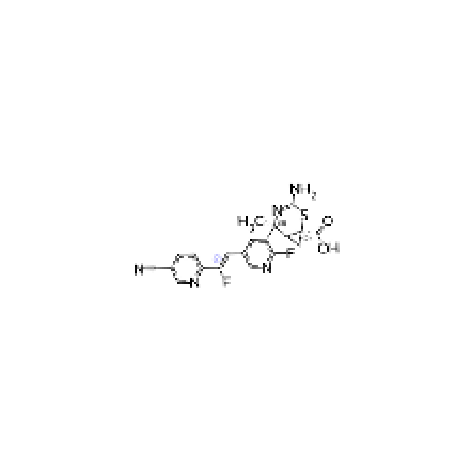 C[C@]1(c2cc(/C=C(\F)c3ccc(C#N)cn3)cnc2F)N=C(N)S[C@@]2(C(=O)O)CC21